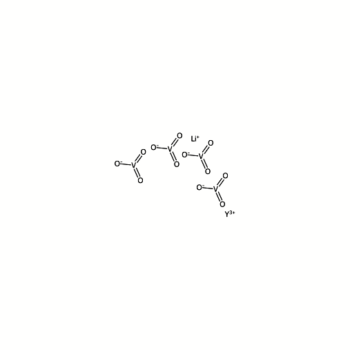 [Li+].[O]=[V](=[O])[O-].[O]=[V](=[O])[O-].[O]=[V](=[O])[O-].[O]=[V](=[O])[O-].[Y+3]